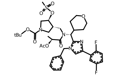 CC(=O)O[C@@H](C)C(=O)N(C[C@@H]1CN(C(=O)OC(C)(C)C)C[C@H]1OS(C)(=O)=O)[C@@H](c1nc(-c2cc(F)ccc2F)cn1Cc1ccccc1)C1CCOCC1